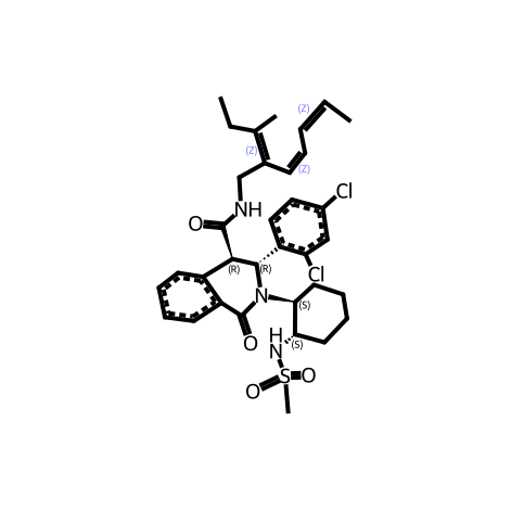 C\C=C/C=C\C(CNC(=O)[C@@H]1c2ccccc2C(=O)N([C@H]2CCCC[C@@H]2NS(C)(=O)=O)[C@H]1c1ccc(Cl)cc1Cl)=C(/C)CC